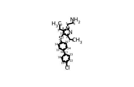 CCc1nn(CCN)c(CC)c1Sc1ccc(-c2ccc(Cl)cc2)cc1